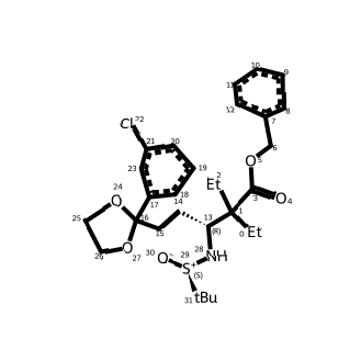 CCC(CC)(C(=O)OCc1ccccc1)[C@@H](CCC1(c2cccc(Cl)c2)OCCO1)N[S@+]([O-])C(C)(C)C